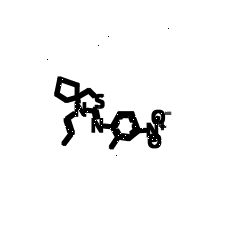 CC=CN1C(=Nc2ccc([N+](=O)[O-])cc2C)SCC12CCCC2